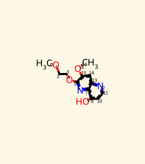 COCCOc1nc2c(O)ccnc2cc1OC